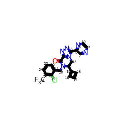 O=C1c2nnc(-c3cnccn3)n2CC(C2=CC=C2)N1Cc1cccc(C(F)(F)F)c1Cl